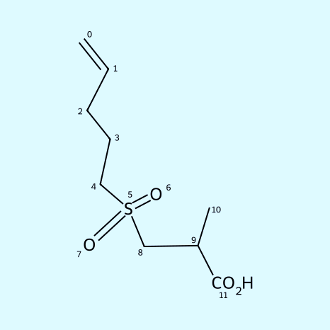 C=CCCCS(=O)(=O)CC(C)C(=O)O